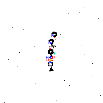 CC[C@@H](Oc1ccc(C(=O)NS(=O)(=O)N2CCN(C3CC3)CC2)c(F)c1F)c1cc(Oc2ccccn2)ccn1